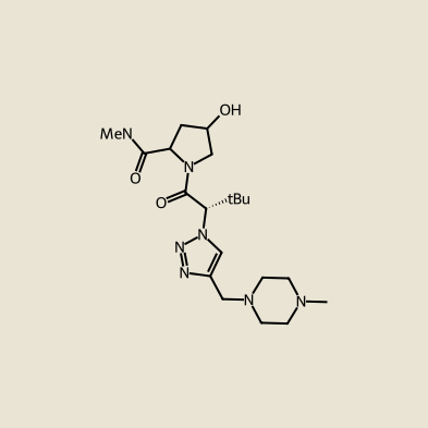 CNC(=O)C1CC(O)CN1C(=O)[C@@H](n1cc(CN2CCN(C)CC2)nn1)C(C)(C)C